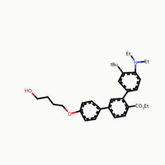 CCOC(=O)c1ccc(-c2ccc(OCCCCO)cc2)cc1-c1ccc(N(CC)CC)c(C(C)(C)C)c1